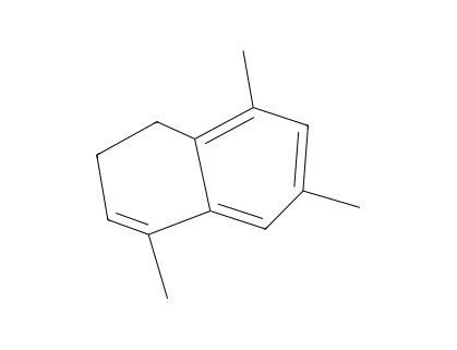 CC1=CCCc2c(C)cc(C)cc21